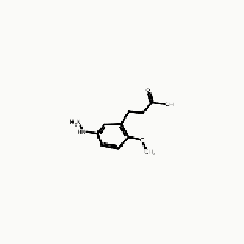 COc1ccc(NN)cc1CCC(=O)O